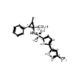 C[C@@H]1[C@H](c2ccccc2)[C@]1(NS(=O)(=O)c1ccc(-c2cc(C(F)(F)F)no2)s1)C(=O)O